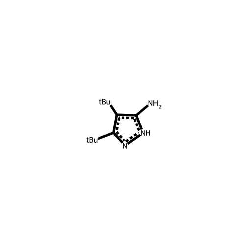 CC(C)(C)c1n[nH]c(N)c1C(C)(C)C